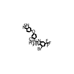 Cc1cc(Oc2ccc3nsnc3c2)ccc1Nc1nc2cc(C(F)(F)F)cc(Br)c2[nH]1